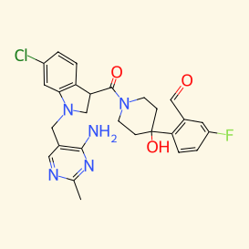 Cc1ncc(CN2CC(C(=O)N3CCC(O)(c4ccc(F)cc4C=O)CC3)c3ccc(Cl)cc32)c(N)n1